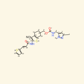 Cc1cc(CNC(=O)OCC2CCc3c(sc(NC(=O)C=Cc4cccs4)c3C#N)C2)n(C)n1